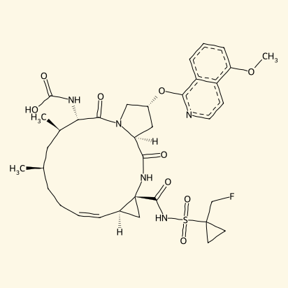 COc1cccc2c(O[C@@H]3C[C@H]4C(=O)N[C@]5(C(=O)NS(=O)(=O)C6(CF)CC6)C[C@H]5C=CCC[C@@H](C)C[C@@H](C)[C@H](NC(=O)O)C(=O)N4C3)nccc12